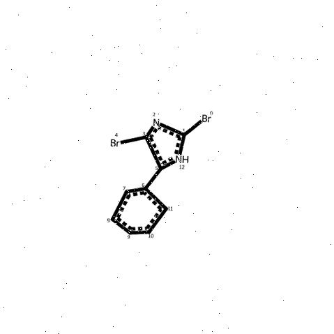 Brc1nc(Br)c(-c2ccccc2)[nH]1